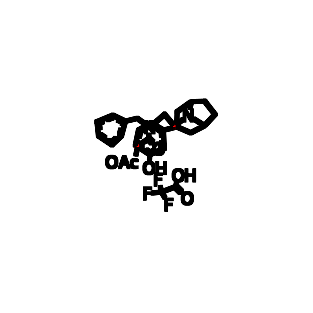 CC(=O)OCC(=O)N(CCN1C2CCC1CC(c1cccc(O)c1)C2)Cc1ccccc1.O=C(O)C(F)(F)F